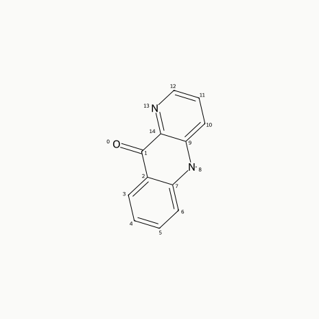 O=C1c2ccccc2[N]c2cccnc21